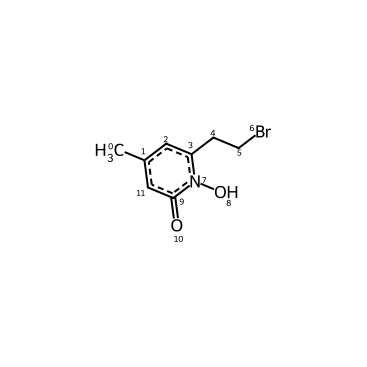 Cc1cc(CCBr)n(O)c(=O)c1